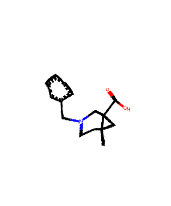 CC12CN(Cc3ccccc3)CC1(C(=O)O)C2